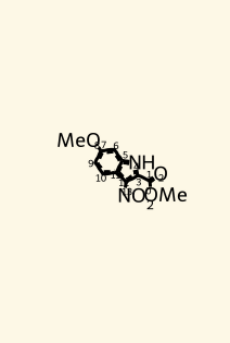 COC(=O)c1[nH]c2cc(OC)ccc2c1[N+](=O)[O-]